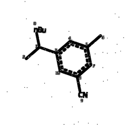 CCCCC(C)c1cc(C)cc(C#N)c1